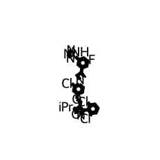 CC(C)c1onc(-c2c(Cl)cccc2Cl)c1COc1ccc(N2CC(c3cc(F)cc(-c4nnn[nH]4)c3)C2)c(Cl)c1